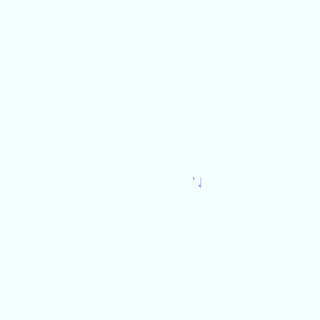 Cc1cc(C)c2cc(C(C)(C)C)ccc2n1